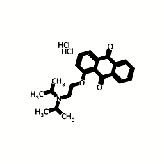 CC(C)N(CCOc1cccc2c1C(=O)c1ccccc1C2=O)C(C)C.Cl.Cl